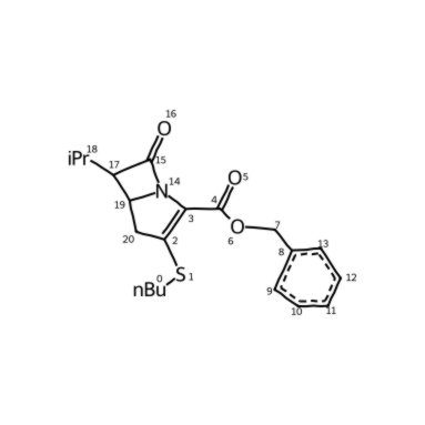 CCCCSC1=C(C(=O)OCc2ccccc2)N2C(=O)C(C(C)C)C2C1